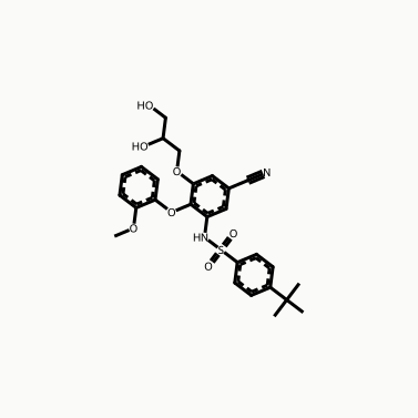 COc1ccccc1Oc1c(NS(=O)(=O)c2ccc(C(C)(C)C)cc2)cc(C#N)cc1OCC(O)CO